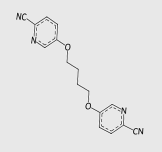 N#Cc1ccc(OCCCCOc2ccc(C#N)nc2)cn1